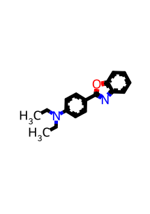 CCN(CC)c1ccc(-c2nc3ccccc3o2)cc1